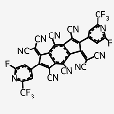 N#CC(C#N)=C1C(c2cc(F)nc(C(F)(F)F)c2)=C(C#N)c2c(C#N)c3c(c(C#N)c21)C(C#N)=C(c1cc(F)nc(C(F)(F)F)c1)C3=C(C#N)C#N